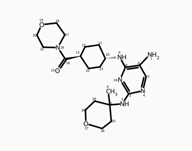 CC1(Nc2ncc(N)c(N[C@H]3CC[C@H](C(=O)N4CCOCC4)CC3)n2)CCOCC1